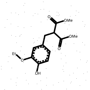 CCOc1cc(CC(C(=O)OC)C(=O)OC)ccc1O